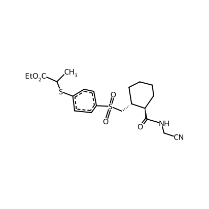 CCOC(=O)C(C)Sc1ccc(S(=O)(=O)C[C@@H]2CCCC[C@H]2C(=O)NCC#N)cc1